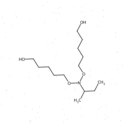 CCC(C)N(OCCCCCO)OCCCCCO